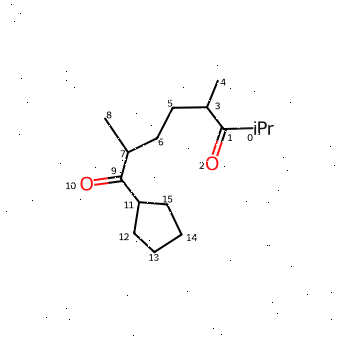 CC(C)C(=O)C(C)CCC(C)C(=O)C1CCCC1